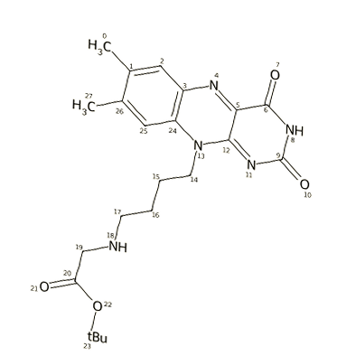 Cc1cc2nc3c(=O)[nH]c(=O)nc-3n(CCCCNCC(=O)OC(C)(C)C)c2cc1C